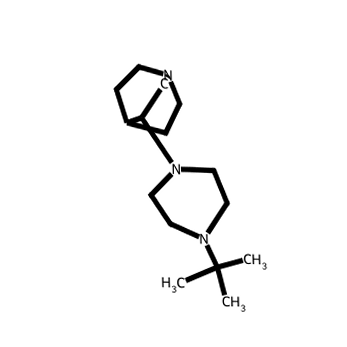 CC(C)(C)N1CCN(C2CN3CCC2CC3)CC1